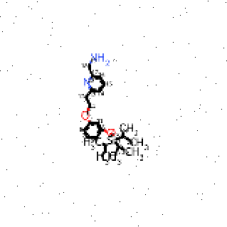 CC(C)[Si](Oc1cccc(OCCc2cccc(CN)n2)c1)(C(C)C)C(C)C